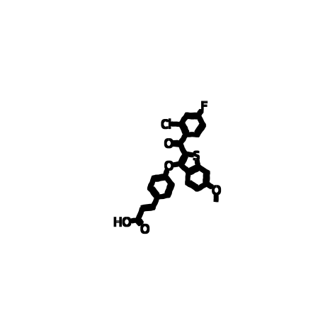 COc1ccc2c(Oc3ccc(/C=C/C(=O)O)cc3)c(C(=O)c3ccc(F)cc3Cl)sc2c1